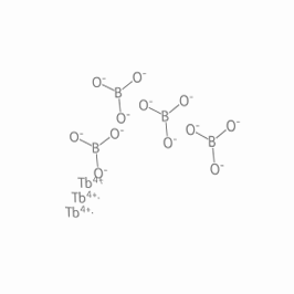 [O-]B([O-])[O-].[O-]B([O-])[O-].[O-]B([O-])[O-].[O-]B([O-])[O-].[Tb+4].[Tb+4].[Tb+4]